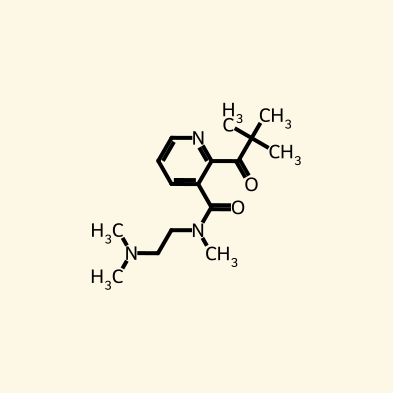 CN(C)CCN(C)C(=O)c1cccnc1C(=O)C(C)(C)C